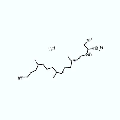 C/C(=C\CNC(CS)C(=O)O)CCCC(C)CCCC(C)CCCC(C)C.Cl